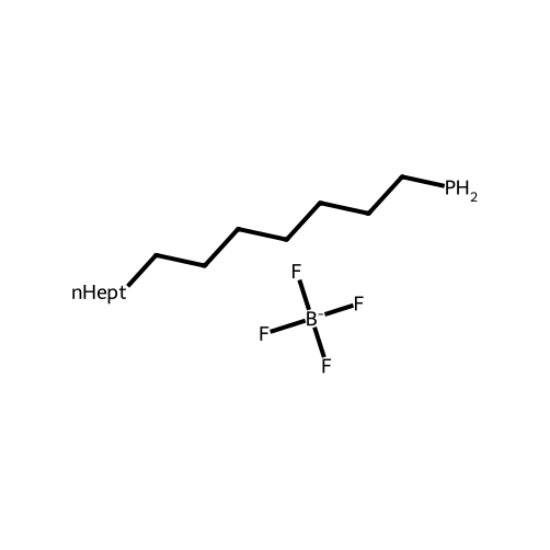 CCCCCCCCCCCCCCP.F[B-](F)(F)F